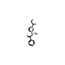 Br.CCC(C)N1C=CN(CC(=O)c2ccccc2)C1